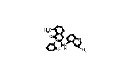 Cc1cnc2cccc(N[C@@H](C)c3cc4cccc(C)c4c(=O)n3-c3ccccc3)c2c1